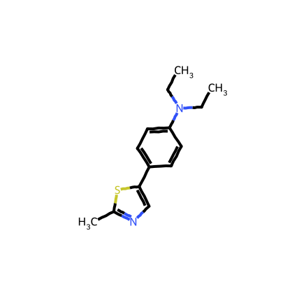 CCN(CC)c1ccc(-c2cnc(C)s2)cc1